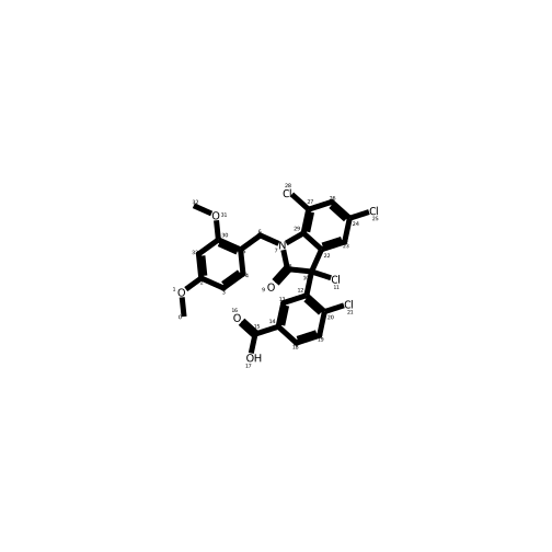 COc1ccc(CN2C(=O)C(Cl)(c3cc(C(=O)O)ccc3Cl)c3cc(Cl)cc(Cl)c32)c(OC)c1